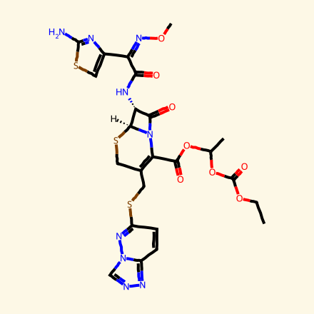 CCOC(=O)OC(C)OC(=O)C1=C(CSc2ccc3nncn3n2)CS[C@H]2[C@H](NC(=O)/C(=N\OC)c3csc(N)n3)C(=O)N12